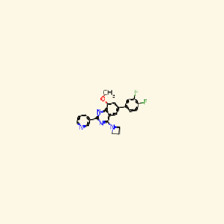 COc1cc(-c2ccc(F)c(F)c2)cc2c(N3CCC3)nc(-c3cccnc3)nc12